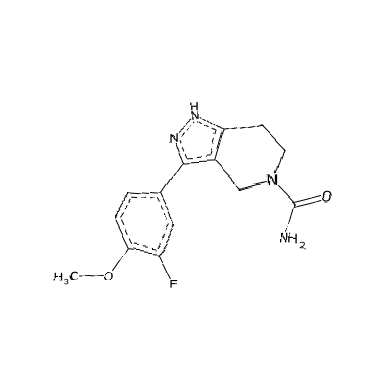 COc1ccc(-c2n[nH]c3c2CN(C(N)=O)CC3)cc1F